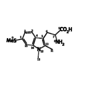 CSc1ccc2c(CC(N)C(=O)O)c(C)n(C)c2c1